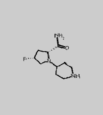 NC(=O)[C@H]1C[C@@H](F)CN1C1CCNCC1